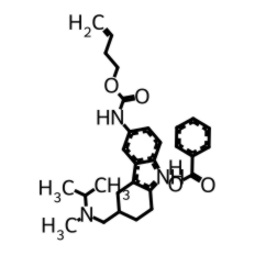 C=CCCOC(=O)Nc1ccc2[nH]c3c(c2c1)CC(CN(C)C(C)C)CC3.O=C(O)c1ccccc1